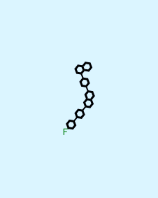 Fc1ccc(-c2ccc(-c3ccc4ccc(-c5ccc(-c6cccc7ccccc67)cc5)cc4c3)cc2)cc1